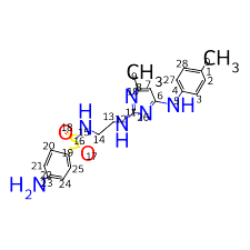 Cc1ccc(Nc2cc(C)nc(NCCNS(=O)(=O)c3ccc(N)cc3)n2)cc1